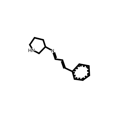 C(=Cc1ccccc1)C=NC1CCCNC1